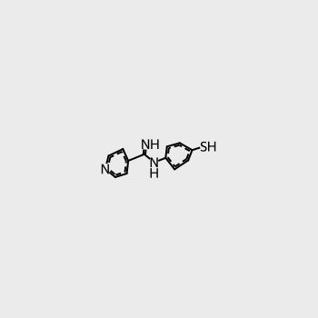 N=C(Nc1ccc(S)cc1)c1ccncc1